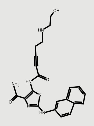 NC(=O)c1nc(Nc2ccc3ccccc3c2)sc1NC(=O)C#CCCNCCO